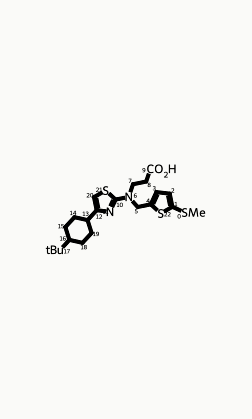 CSc1ccc(CN(CCC(=O)O)c2nc(C3CCC(C(C)(C)C)CC3)cs2)s1